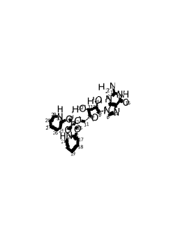 Nc1nc2c(ncn2[C@@H]2O[C@H](COP(=O)(OC3=CC=CC=CN3)OC3=CC=CC=CN3)[C@@H](O)[C@H]2O)c(=O)[nH]1